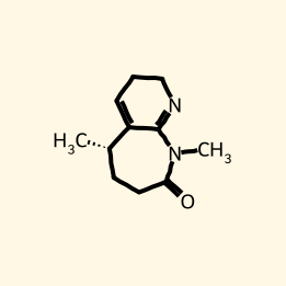 C[C@H]1CCC(=O)N(C)C2=NCCC=C21